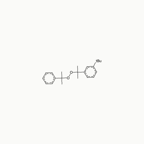 CC(C)(C)c1cccc(C(C)(C)OOC(C)(C)c2ccccc2)c1